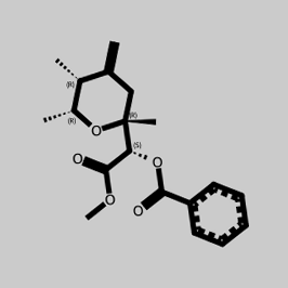 C=C1C[C@](C)([C@H](OC(=O)c2ccccc2)C(=O)OC)O[C@H](C)[C@@H]1C